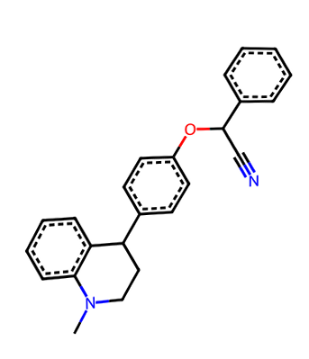 CN1CCC(c2ccc(OC(C#N)c3ccccc3)cc2)c2ccccc21